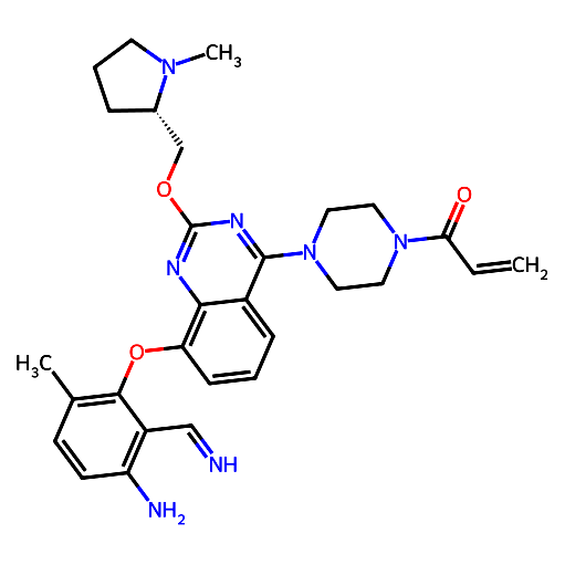 C=CC(=O)N1CCN(c2nc(OC[C@@H]3CCCN3C)nc3c(Oc4c(C)ccc(N)c4C=N)cccc23)CC1